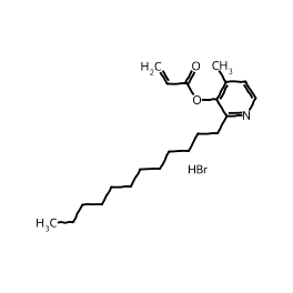 Br.C=CC(=O)Oc1c(C)ccnc1CCCCCCCCCCCC